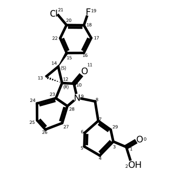 O=C(O)c1cccc(CN2C(=O)[C@@]3(C[C@H]3c3ccc(F)c(Cl)c3)c3ccccc32)c1